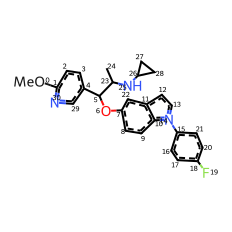 COc1ccc(C(Oc2ccc3c(ccn3-c3ccc(F)cc3)c2)C(C)NC2CC2)cn1